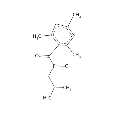 Cc1cc(C)c(C(=O)[P](=O)CC(C)C)c(C)c1